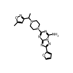 Cc1cc(C(C)N2CCN(c3nc(N)n4nc(-c5ccco5)nc4n3)CC2)no1